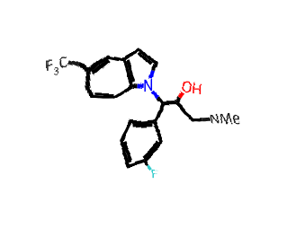 CNCC(O)C(c1cccc(F)c1)n1ccc2cc(C(F)(F)F)ccc21